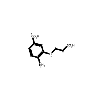 Nc1ccc(C(=O)O)cc1OCCS(=O)(=O)O